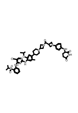 Cc1cc(Nc2ncc(Cl)c(Nc3ccccc3S(=O)(=O)C(C)C)n2)c(OC(C)C)cc1C1CCN(C2CN(C(=O)C3CN(c4ccc(NC5CCC(=O)NC5=O)cc4)C3)C2)CC1